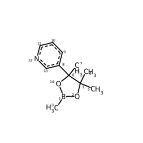 CB1OC(C)(C)C(C)(c2cccnc2)O1